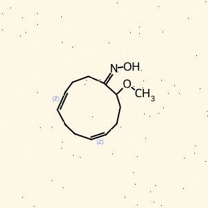 COC1CC/C=C\CC/C=C\CCC1=NO